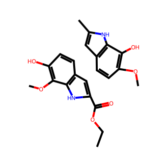 CCOC(=O)c1cc2ccc(O)c(OC)c2[nH]1.COc1ccc2cc(C)[nH]c2c1O